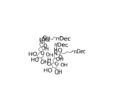 CCCCCCCCCCCCCCC(O)C(=O)N(CCCCCCCCCC)CC(O)CC1O[C@H](CO)[C@@H](O)[C@H](O)[C@H]1O.CCCCCCCCCCCCCCC(O)C(=O)N(CCCCCCCCCCCC)CC(O)CC1O[C@H](CO)[C@@H](O)[C@H](O)[C@H]1O